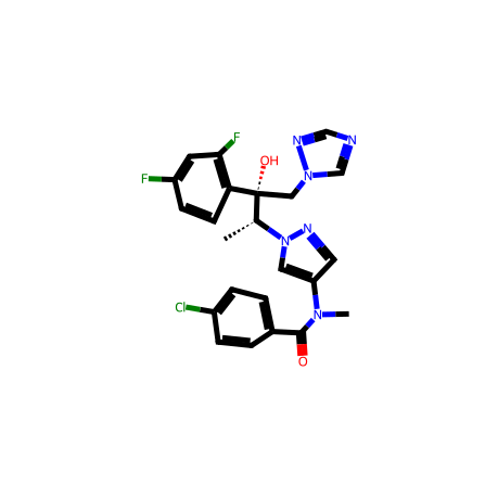 C[C@@H](n1cc(N(C)C(=O)c2ccc(Cl)cc2)cn1)[C@](O)(Cn1cncn1)c1ccc(F)cc1F